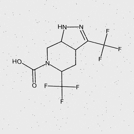 O=C(O)N1CC2NN=C(C(F)(F)F)C2CC1C(F)(F)F